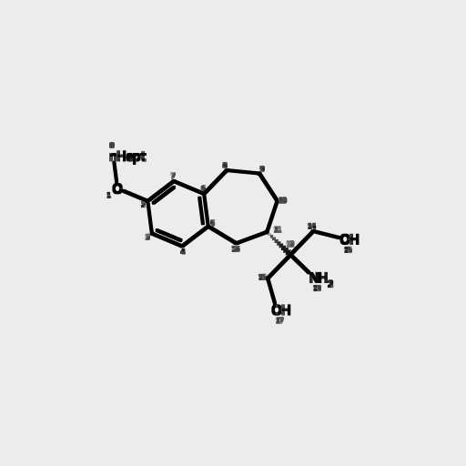 CCCCCCCOc1ccc2c(c1)CCC[C@H](C(N)(CO)CO)C2